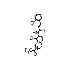 O=C(C=Cc1ccccc1Cl)Nc1ccc2c(c1Cl)CN(C(=O)C(F)(F)F)CC2